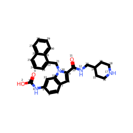 O=C(O)Nc1ccc2cc(C(=O)NCC3CCNCC3)n(Cc3cccc4ccccc34)c2c1